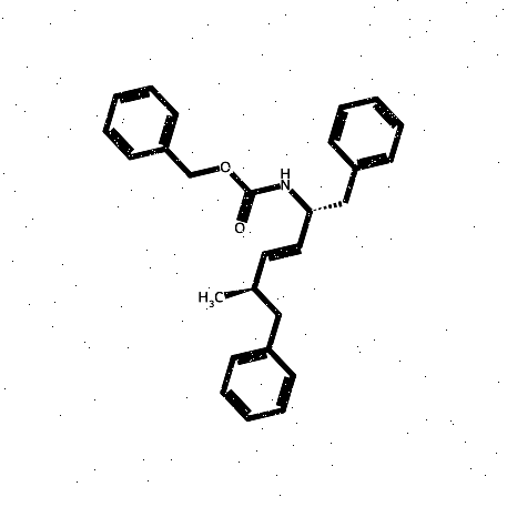 C[C@@H](/C=C/[C@@H](Cc1ccccc1)NC(=O)OCc1ccccc1)Cc1ccccc1